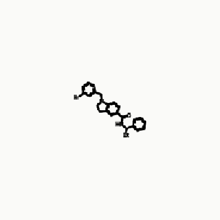 CCC(NC(=O)c1ccc2c(c1)CCN2Cc1cccc(Br)c1)c1ccccc1